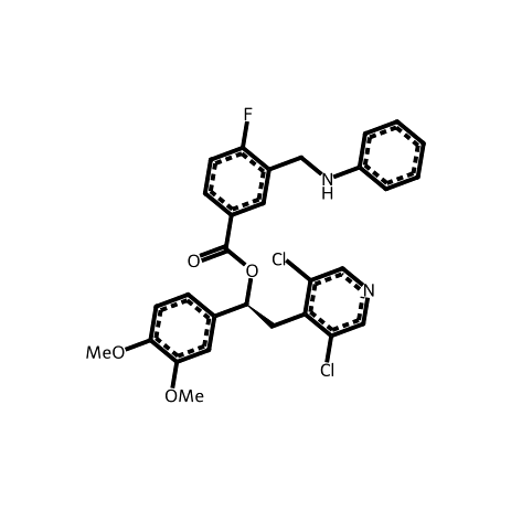 COc1ccc([C@H](Cc2c(Cl)cncc2Cl)OC(=O)c2ccc(F)c(CNc3ccccc3)c2)cc1OC